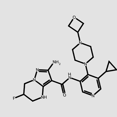 Nc1nn2c(c1C(=O)Nc1cncc(C3CC3)c1N1CCN(C3COC3)CC1)NCC(F)C2